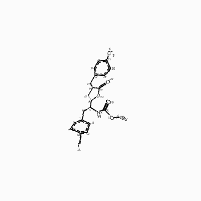 CC(C)(C)OC(=O)N[C@@H](Cc1ccc(F)cc1)[C@@H]1C[C@@H](Cc2ccc(C(F)(F)F)cc2)C(=O)O1